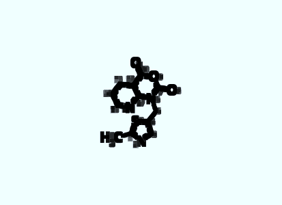 Cc1ncc(Cn2c(=O)oc(=O)c3cccnc32)s1